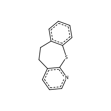 c1ccc2c(c1)CCc1cccnc1S2